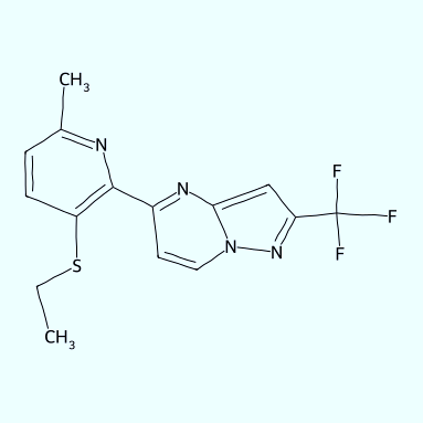 CCSc1ccc(C)nc1-c1ccn2nc(C(F)(F)F)cc2n1